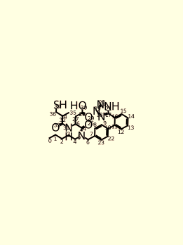 CCCCCN(Cc1ccc(-c2ccccc2-c2nnn[nH]2)cc1)C(=O)C(CC(=O)O)NC(=O)C(C)CS